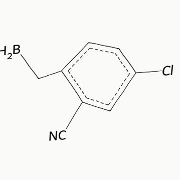 BCc1ccc(Cl)cc1C#N